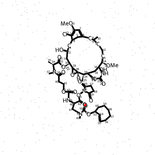 COC1=C(Cl)C2CC(=C1)CC(C)CCC[C@@H](OC)[C@@]1(O)C[C@H](OC(=O)N1)[C@@H](C)[C@@H]1O[C@@]1(C)[C@@H](OC(=O)[C@H](C)N(C)C(=O)CCOC(=O)NC(CN(C)C(=O)OC1/C=C/CCCCC1)C(=O)ON1C(=O)CCC1=O)CC(O)C2